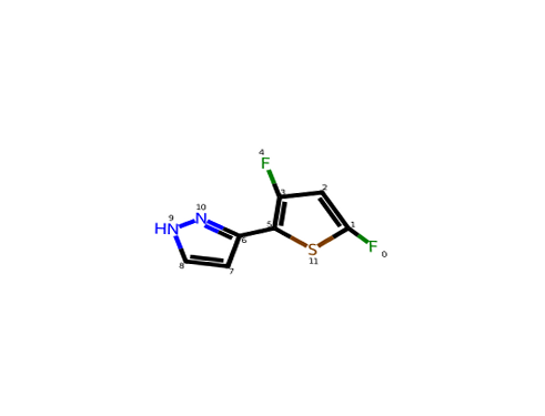 Fc1cc(F)c(-c2cc[nH]n2)s1